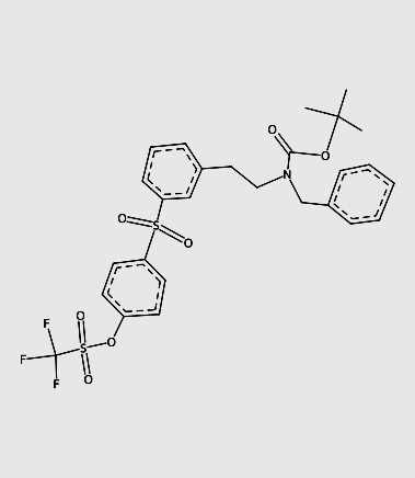 CC(C)(C)OC(=O)N(CCc1cccc(S(=O)(=O)c2ccc(OS(=O)(=O)C(F)(F)F)cc2)c1)Cc1ccccc1